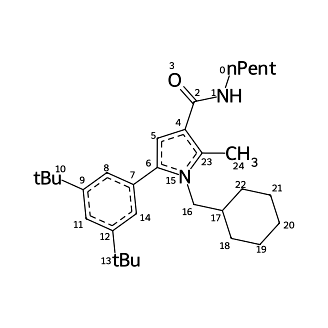 CCCCCNC(=O)c1cc(-c2cc(C(C)(C)C)cc(C(C)(C)C)c2)n(CC2CCCCC2)c1C